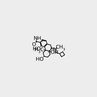 CN(CC1CCC1)[C@@H]1Cc2ccc(C(N)=O)c(O)c2C2(C)CC(O)CC[C@@]12O